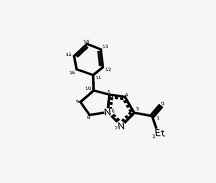 C=C(CC)c1cc2n(n1)CCC2C1C=CC=CC1